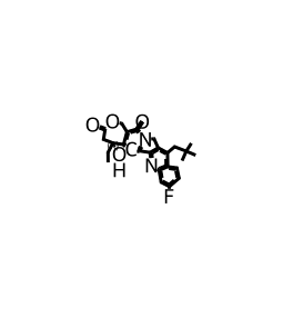 CC[C@@]1(O)CC(=O)OCc2c1cc1n(c2=O)Cc2c-1nc1cc(F)ccc1c2CC(C)(C)C